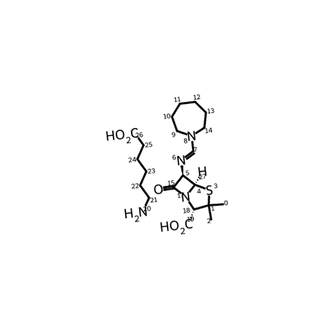 CC1(C)S[C@@H]2[C@H](N=CN3CCCCCC3)C(=O)N2[C@H]1C(=O)O.NCCCCCC(=O)O